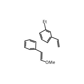 C=Cc1cccc(CC)c1.COC=Cc1ccccc1